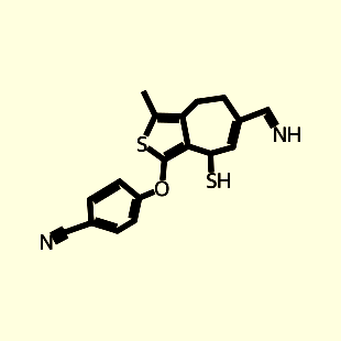 Cc1sc(Oc2ccc(C#N)cc2)c2c1CCC(C=N)=CC2S